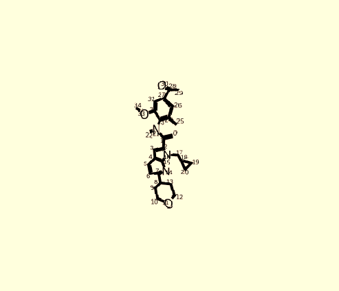 C=C(c1cc2ccc(C3CCOCC3)nc2n1CC1CC1)N(C)c1c(C)cc(C(C)=O)cc1OC